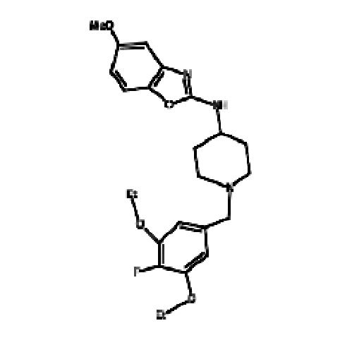 CCOc1cc(CN2CCC(Nc3nc4cc(OC)ccc4o3)CC2)cc(OCC)c1F